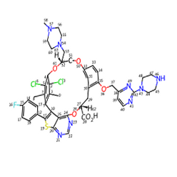 Cc1c(Cl)c2c(Cl)c(C)c1-c1c(-c3ccc(F)cc3)sc3ncnc(c13)O[C@@H](C(=O)O)Cc1cc(ccc1OCc1ccnc(N3CCNCC3)n1)OC[C@@H](CN1CCN(C)CC1)O2